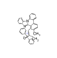 C=C/C(=C\c1c(C)ccc2c3ccccc3n3c4ccccc4nc3c12)P(=O)(c1ccccc1)c1ccccc1